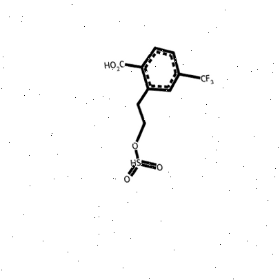 O=C(O)c1ccc(C(F)(F)F)cc1CCO[SH](=O)=O